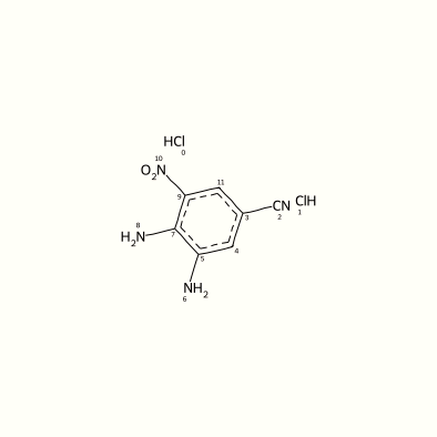 Cl.Cl.N#Cc1cc(N)c(N)c([N+](=O)[O-])c1